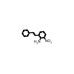 Nc1c(C=Cc2ccccc2)cccc1[N+](=O)[O-]